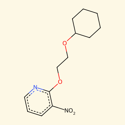 O=[N+]([O-])c1cccnc1OCCOC1CCCCC1